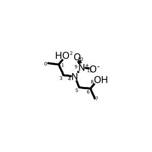 CC(O)CN(CC(C)O)[N+](=O)[O-]